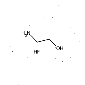 F.NCCO